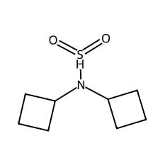 O=[SH](=O)N(C1CCC1)C1CCC1